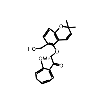 COC1=CCC=CC=C1C(=O)COc1c(CO)ccc2c1C=CC(C)(C)O2